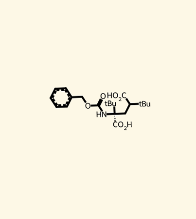 CC(C)(C)C(C[C@](NC(=O)OCc1ccccc1)(C(=O)O)C(C)(C)C)C(=O)O